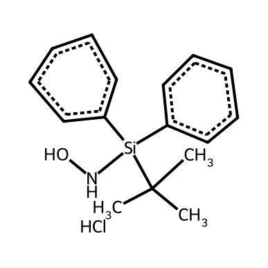 CC(C)(C)[Si](NO)(c1ccccc1)c1ccccc1.Cl